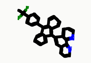 CC(F)(F)c1ccc(-c2c3ccccc3c(-c3cc4cccnc4c4ncccc34)c3ccccc23)cc1